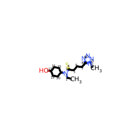 CCN(C(=S)CCCc1nnnn1C)C1CCC(O)CC1